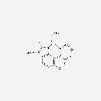 CC/C=C(C)\C(=C(\C)C(C)CC)c1c(Cl)ccc2c(CCCC)c(C)n(CCC(C)CC)c12